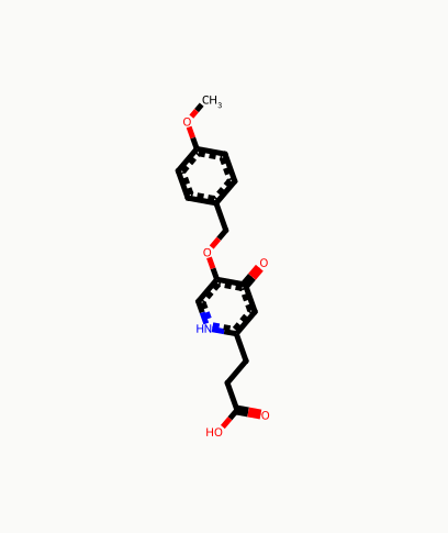 COc1ccc(COc2c[nH]c(CCC(=O)O)cc2=O)cc1